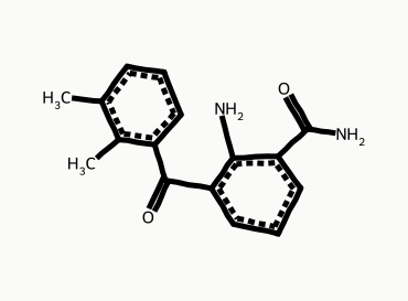 Cc1cccc(C(=O)c2cccc(C(N)=O)c2N)c1C